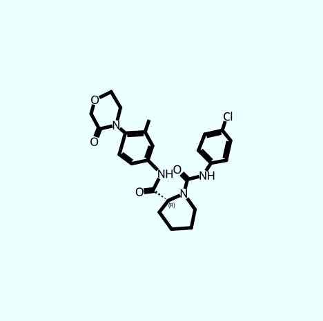 Cc1cc(NC(=O)[C@H]2CCCCN2C(=O)Nc2ccc(Cl)cc2)ccc1N1CCOCC1=O